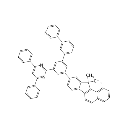 CC1(C)c2cc(-c3cc(-c4cccc(-c5cccnc5)c4)cc(-c4nc(-c5ccccc5)cc(-c5ccccc5)n4)c3)ccc2-c2ccc3ccccc3c21